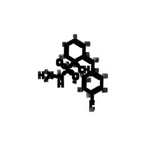 CC1(S(=O)(=O)NN)C=CC=CC1=Cc1ccc(F)cc1